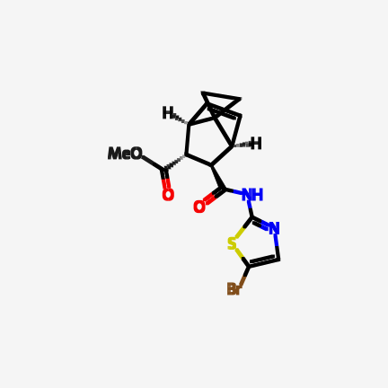 COC(=O)[C@H]1[C@H](C(=O)Nc2ncc(Br)s2)[C@@H]2C=C[C@H]1C21CC1